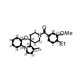 CCc1ccc(C(=O)N2CCC3(CC2)Oc2ccccc2-n2ccc(C)c23)cc1OC